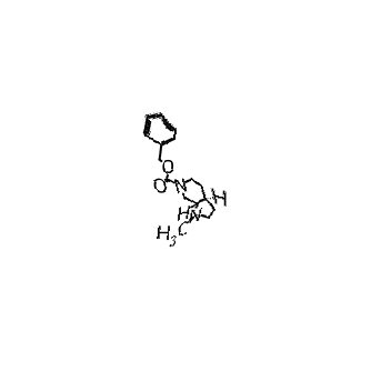 CN1CC[C@@H]2CCN(C(=O)OCc3ccccc3)C[C@H]21